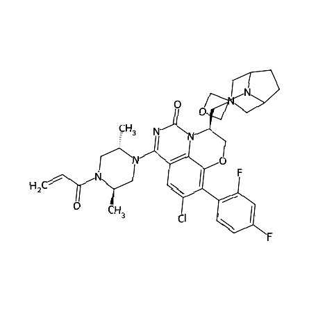 C=CC(=O)N1C[C@H](C)N(c2nc(=O)n3c4c(c(-c5ccc(F)cc5F)c(Cl)cc24)OC[C@@H]3CN2CC3CCC(C2)N3C2COC2)C[C@H]1C